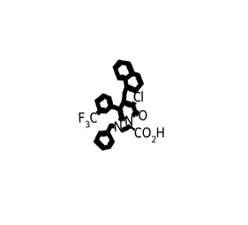 O=C(O)[C@H]1CN(Cc2ccccc2)c2c(-c3cccc(C(F)(F)F)c3)c(Cc3cccc4ccccc34)c(Cl)c(=O)n21